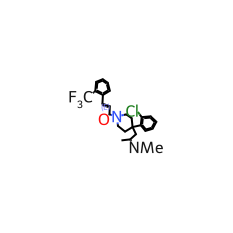 CNC(C)CC1(c2ccccc2Cl)CCN(C(=O)/C=C/c2ccccc2C(F)(F)F)CC1